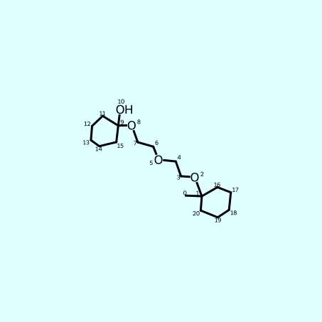 CC1(OCCOCCOC2(O)CCCCC2)CCCCC1